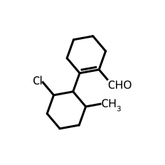 CC1CCCC(Cl)C1C1=C(C=O)CCCC1